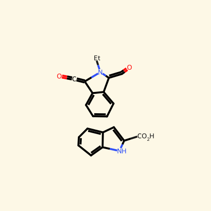 CCn1c(=C=O)c2ccccc2c1=C=O.O=C(O)c1cc2ccccc2[nH]1